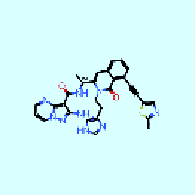 Cc1ncc(C#Cc2cccc3cc([C@H](C)NC(=O)c4c(N)nn5cccnc45)n(CCc4c[nH]cn4)c(=O)c23)s1